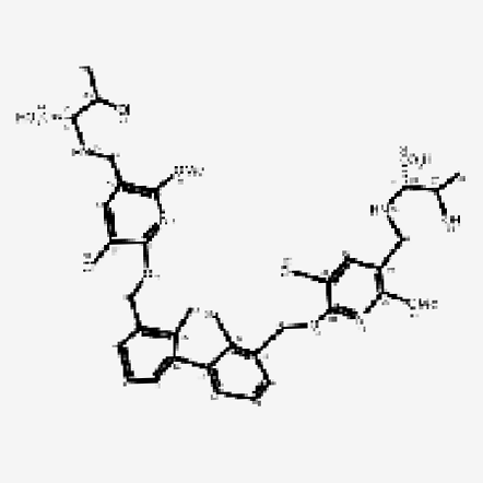 COc1nc(OCc2cccc(-c3cccc(COc4nc(OC)c(CN[C@H](C(=O)O)C(C)O)cc4Cl)c3C)c2C)c(Cl)cc1CN[C@H](C(=O)O)C(C)O